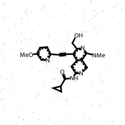 CNc1nc(CO)c(C#Cc2ccc(OC)cn2)c2cc(NC(=O)C3CC3)ncc12